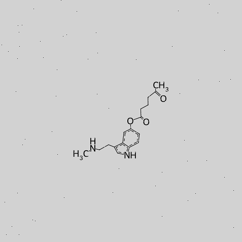 CNCCc1c[nH]c2ccc(OC(=O)CCCC(C)=O)cc12